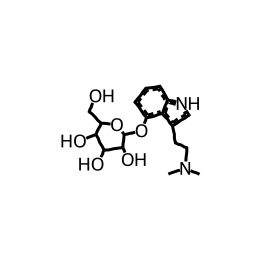 CN(C)CCc1c[nH]c2cccc(OC3OC(CO)C(O)C(O)C3O)c12